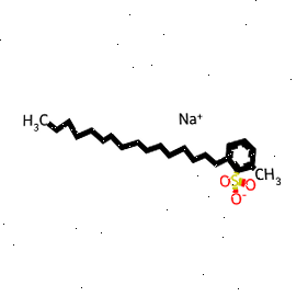 CCCCCCCCCCCCCCCCc1cccc(C)c1S(=O)(=O)[O-].[Na+]